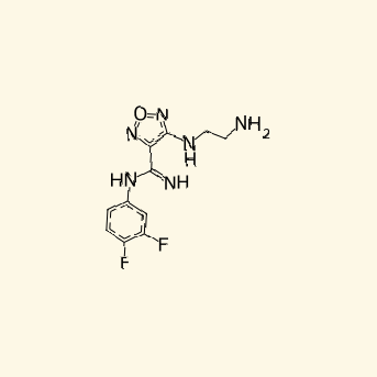 N=C(Nc1ccc(F)c(F)c1)c1nonc1NCCN